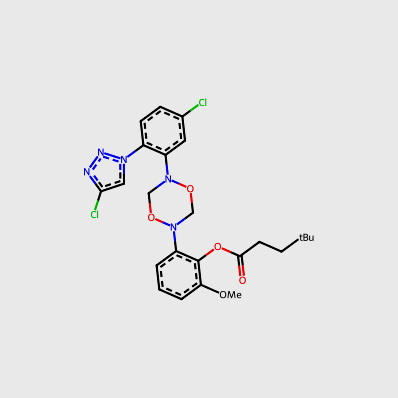 COc1cccc(N2CON(c3cc(Cl)ccc3-n3cc(Cl)nn3)CO2)c1OC(=O)CCC(C)(C)C